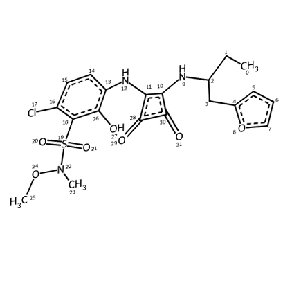 CCC(Cc1ccco1)Nc1c(Nc2ccc(Cl)c(S(=O)(=O)N(C)OC)c2O)c(=O)c1=O